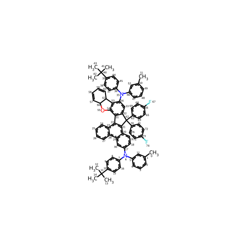 Cc1cccc(N(c2ccc(C(C)(C)C)cc2)c2ccc3c4c(c5ccccc5c3c2)-c2c(cc(N(c3ccc(C(C)(C)C)cc3)c3cccc(C)c3)c3c2OC2C=CC=CC32)C4(c2ccc(F)cc2)c2ccc(F)cc2)c1